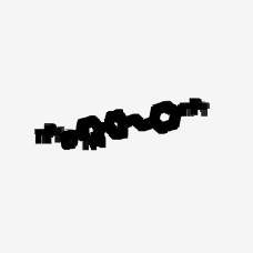 CCCOc1ccc(-c2ccc(CCC3CCC(CCC)CC3)cc2)nn1